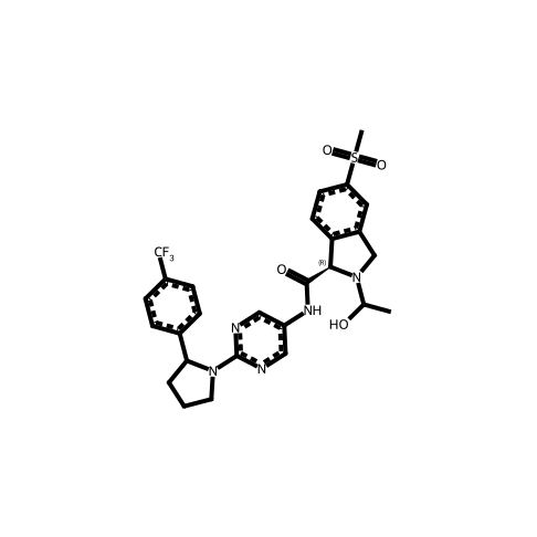 CC(O)N1Cc2cc(S(C)(=O)=O)ccc2[C@@H]1C(=O)Nc1cnc(N2CCCC2c2ccc(C(F)(F)F)cc2)nc1